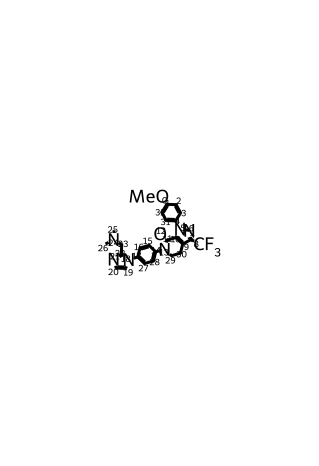 COc1ccc(-n2nc(C(F)(F)F)c3c2C(=O)N(c2ccc(-n4ccnc4CN(C)C)cc2)CC3)cc1